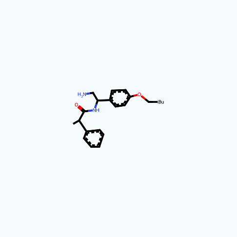 CCC(C)COc1ccc(C(CN)NC(=O)C(C)c2ccccc2)cc1